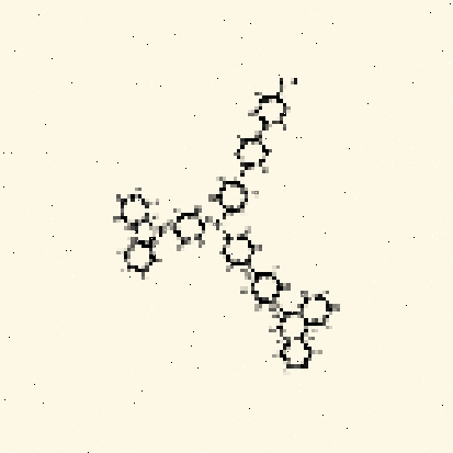 N#Cc1ccc(-c2ccc(-c3ccc(N(c4ccc(-c5ccc(-c6cc7ccccc7c7ccccc67)cc5)cc4)c4ccc(-n5c6ccccc6c6ccccc65)cc4)cc3)cc2)cc1